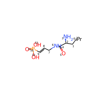 CC(C)C[C@H](N)C(=O)NCC=CP(=O)(O)O